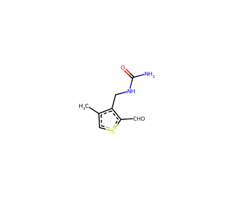 Cc1csc(C=O)c1CNC(N)=O